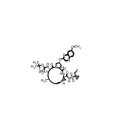 COc1ccc2ncc(O[C@@H]3C[C@H]4C(=O)N[C@]5(C(=O)NS(=O)(=O)C6(CF)CC6)C[C@H]5/C=C\CC[C@@H](C)C[C@@H](C)[C@H](NC(=O)OC(C)(C)C)C(=O)N4C3)nc2c1